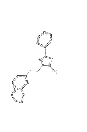 Cn1cc(-c2ccncc2)nc1CCc1ccc2ccccc2n1